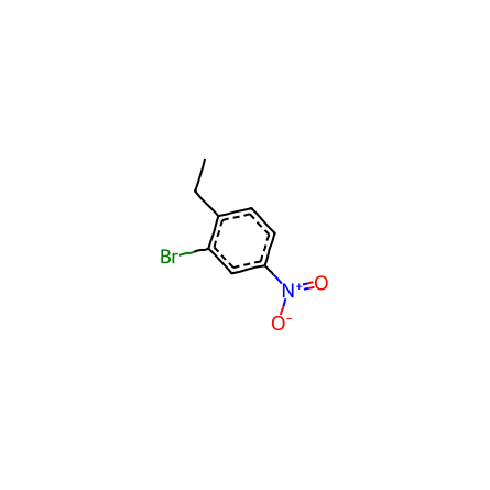 CCc1ccc([N+](=O)[O-])cc1Br